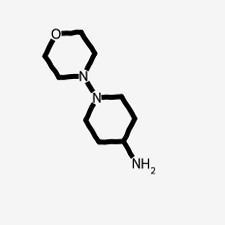 NC1CCN(N2CCOCC2)CC1